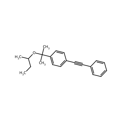 CCC(C)OC(C)(C)c1ccc(C#Cc2ccccc2)cc1